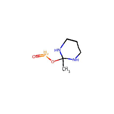 CC1(O[PH2]=O)NCCCN1